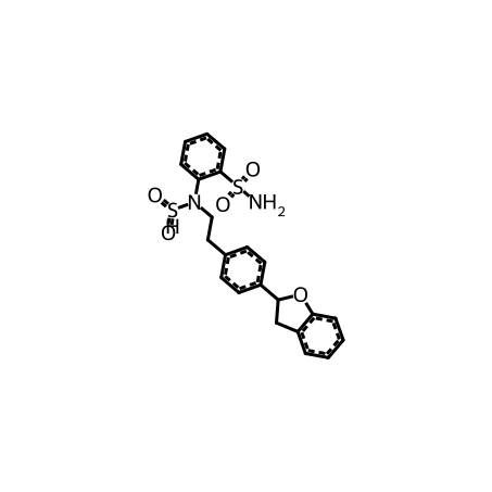 NS(=O)(=O)c1ccccc1N(CCc1ccc(C2Cc3ccccc3O2)cc1)[SH](=O)=O